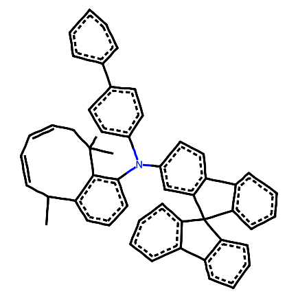 CC1/C=C\C=C/CC(C)(C)c2c1cccc2N(c1ccc(-c2ccccc2)cc1)c1ccc2c(c1)C1(c3ccccc3-c3ccccc31)c1ccccc1-2